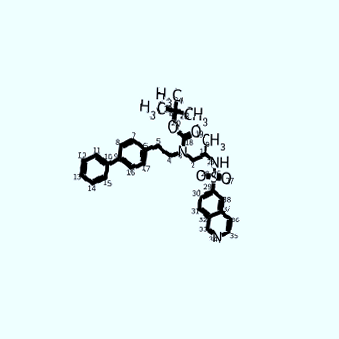 C[C@H](CN(CCc1ccc(-c2ccccc2)cc1)C(=O)OC(C)(C)C)NS(=O)(=O)c1ccc2cnccc2c1